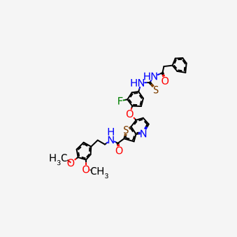 COc1ccc(CCNC(=O)c2cc3nccc(Oc4ccc(NC(=S)NC(=O)Cc5ccccc5)cc4F)c3s2)cc1OC